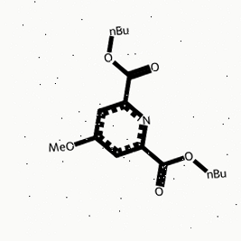 CCCCOC(=O)c1cc(OC)cc(C(=O)OCCCC)n1